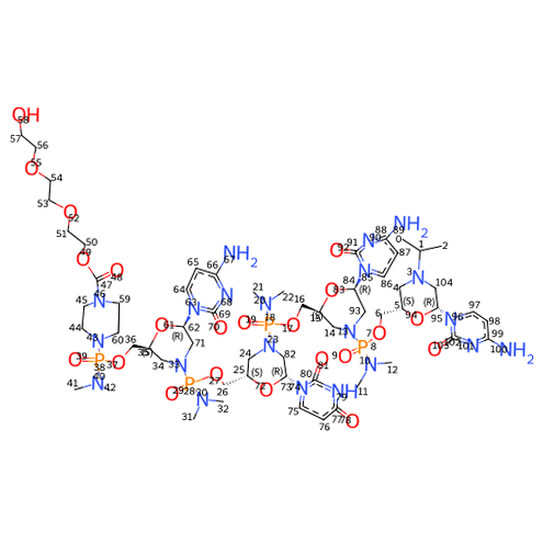 CC(C)N1C[C@@H](COP(=O)(N(C)C)N2C[C@@H](COP(=O)(N(C)C)N3C[C@@H](COP(=O)(N(C)C)N4C[C@@H](COP(=O)(N(C)C)N5CCN(C(=O)OCCOCCOCCO)CC5)O[C@@H](n5ccc(N)nc5=O)C4)O[C@@H](n4ccc(=O)[nH]c4=O)C3)O[C@@H](n3ccc(N)nc3=O)C2)O[C@@H](n2ccc(N)nc2=O)C1